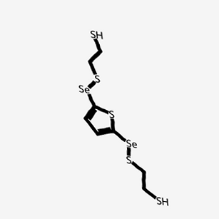 SCCS[Se]c1ccc([Se]SCCS)s1